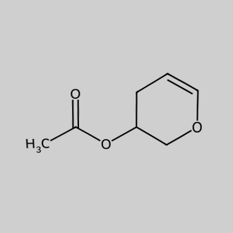 CC(=O)OC1CC=COC1